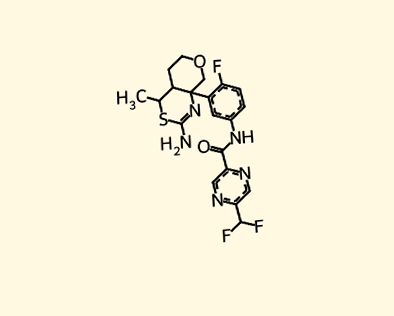 CC1SC(N)=NC2(c3cc(NC(=O)c4cnc(C(F)F)cn4)ccc3F)COCCC12